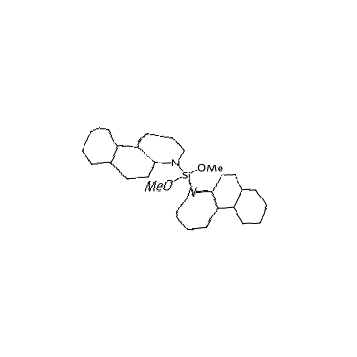 CO[Si](OC)(N1CCCC2C3CCCCC3CCC21)N1CCCC2C3CCCCC3CCC21